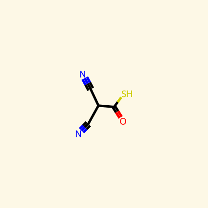 N#CC(C#N)C(=O)S